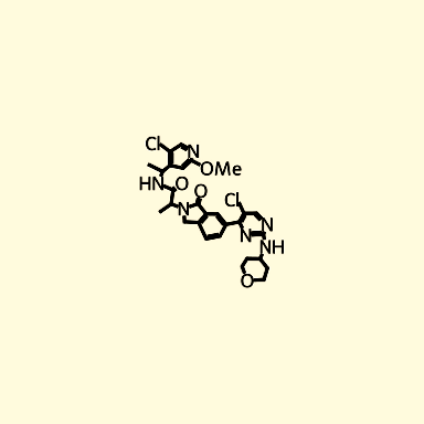 COc1cc(C(C)NC(=O)C(C)N2Cc3ccc(-c4nc(NC5CCOCC5)ncc4Cl)cc3C2=O)c(Cl)cn1